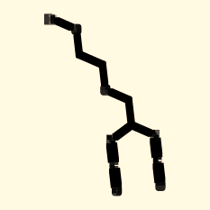 CCOCCOCC(N=C=O)N=C=O